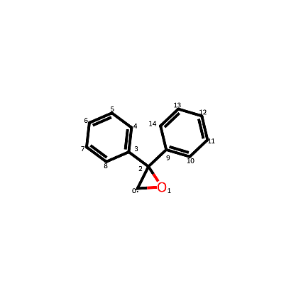 [CH]1OC1(c1ccccc1)c1ccccc1